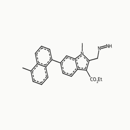 CCOC(=O)c1c(CN=N)n(C)c2cc(-c3cccc4c(C)cccc34)ccc12